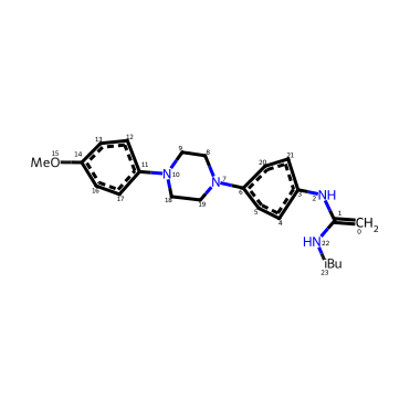 C=C(Nc1ccc(N2CCN(c3ccc(OC)cc3)CC2)cc1)NC(C)CC